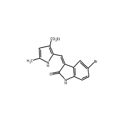 CCOC(=O)c1cc(C)[nH]c1C=C1C(=O)Nc2ccc(Br)cc21